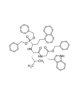 CC(C)C[C@H](NC(CCc1cccc2ccccc12)P(=O)(OCc1ccccc1)OCc1ccccc1)C(=O)N[C@@H](Cc1c[nH]c2ccccc12)C(=O)OCc1ccccc1